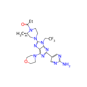 CCC(=O)N1CCN(c2nc3c(N4CCOCC4)nc(-c4cnc(N)nc4)nc3n2CC(F)(F)F)C[C@H]1C